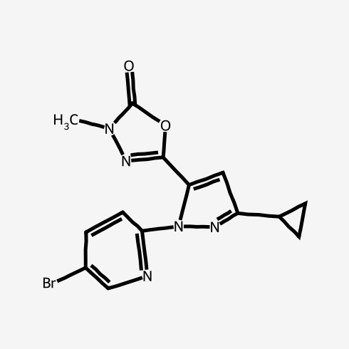 Cn1nc(-c2cc(C3CC3)nn2-c2ccc(Br)cn2)oc1=O